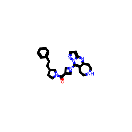 O=C(C1CN(c2c3c(nc4ccnn24)CCNCC3)C1)N1CCC(CCc2ccccc2)C1